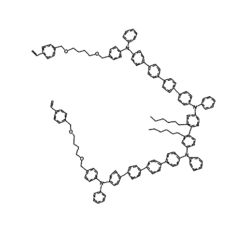 C=Cc1ccc(COCCCCOCc2ccc(N(c3ccccc3)c3ccc(-c4ccc(-c5ccc(-c6ccc(N(c7ccccc7)c7ccc(-c8ccc(N(c9ccccc9)c9ccc(-c%10ccc(-c%11ccc(-c%12ccc(N(c%13ccccc%13)c%13ccc(COCCCCOCc%14ccc(C=C)cc%14)cc%13)cc%12)cc%11)cc%10)cc9)cc8CCCCCC)c(CCCCCC)c7)cc6)cc5)cc4)cc3)cc2)cc1